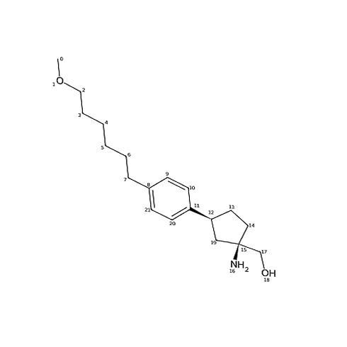 COCCCCCCc1ccc([C@H]2CC[C@](N)(CO)C2)cc1